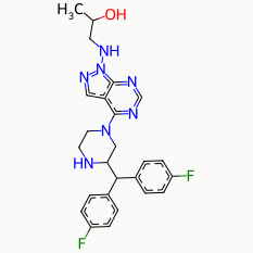 CC(O)CNn1ncc2c(N3CCNC(C(c4ccc(F)cc4)c4ccc(F)cc4)C3)ncnc21